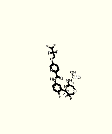 C[C@]1(c2cc(NC(=O)c3ccc(OCC(F)(F)C(F)F)cn3)ccc2F)N=C(N)COCC1(F)F.O=CO